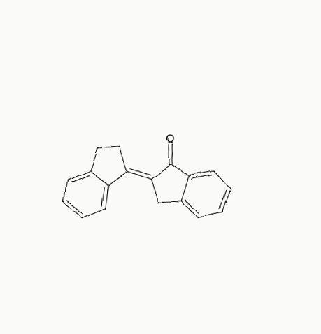 O=C1C(=C2CCc3ccccc32)Cc2ccccc21